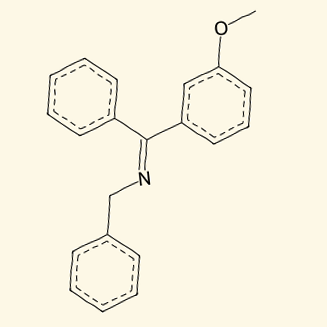 COc1cccc(C(=NCc2ccccc2)c2ccccc2)c1